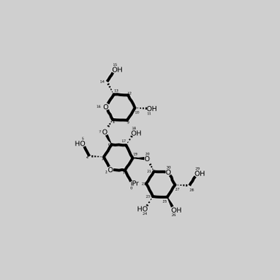 CC(C)C1O[C@H](CO)[C@@H](O[C@H]2C[C@@H](O)C[C@@H](CO)O2)[C@H](O)[C@H]1O[C@H]1C[C@@H](O)[C@H](O)[C@@H](CO)O1